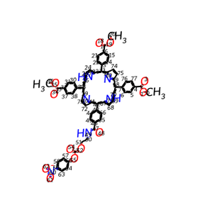 COC(=O)c1ccc(-c2c3nc(c(-c4ccc(C(=O)OC)cc4)c4ccc([nH]4)c(-c4ccc(C(=O)OC)cc4)c4nc(c(-c5ccc(C(=O)NCCOC(=O)Oc6ccc([N+](=O)[O-])cc6)cc5)c5ccc2[nH]5)C=C4)C=C3)cc1